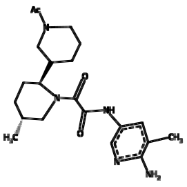 CC(=O)N1CCCC([C@@H]2CC[C@@H](C)CN2C(=O)C(=O)Nc2cnc(N)c(C)c2)C1